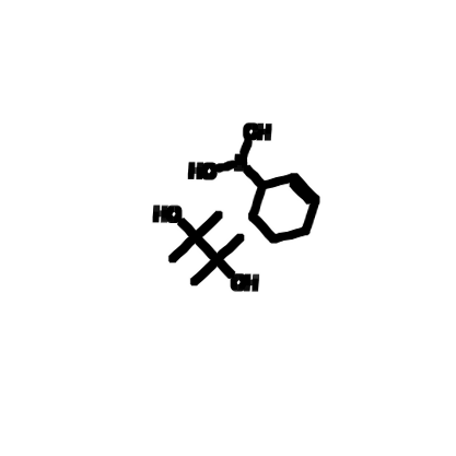 CC(C)(O)C(C)(C)O.OB(O)C1C=CCCC1